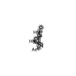 CC(=O)c1ccc(-c2nccc3[nH]c(-c4n[nH]c5ccc(-c6cncc(NC(=O)Cc7ccccc7)c6)c(F)c45)nc23)s1